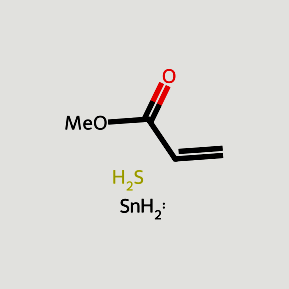 C=CC(=O)OC.S.[SnH2]